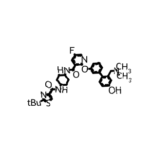 CN(C)Cc1cc(O)ccc1-c1cccc(Oc2ncc(F)cc2C(=O)NC2CCC(NC(=O)c3csc(C(C)(C)C)n3)CC2)c1